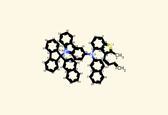 C=C/C=C\c1c(C)sc2cccc(N(c3ccc4ccccc4c3)c3ccc4c(c3)c3ccccc3n4C3(c4ccc5ccccc5c4)c4ccccc4-c4ccccc43)c12